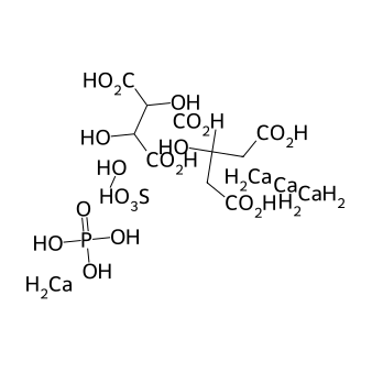 O=C(O)C(O)C(O)C(=O)O.O=C(O)CC(O)(CC(=O)O)C(=O)O.O=P(O)(O)O.O=S(=O)(O)O.[CaH2].[CaH2].[CaH2].[CaH2]